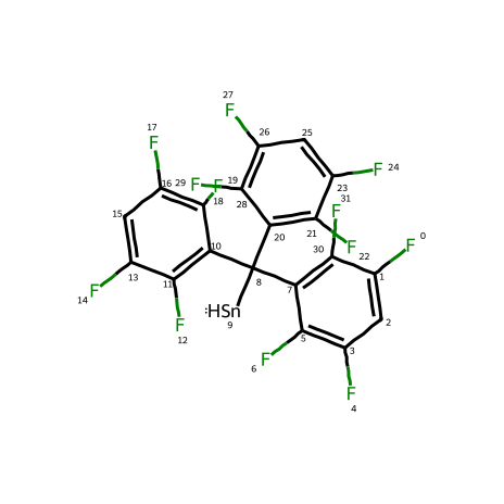 Fc1cc(F)c(F)c([C]([SnH])(c2c(F)c(F)cc(F)c2F)c2c(F)c(F)cc(F)c2F)c1F